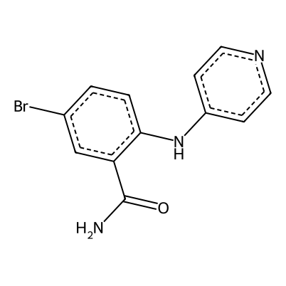 NC(=O)c1cc(Br)ccc1Nc1ccncc1